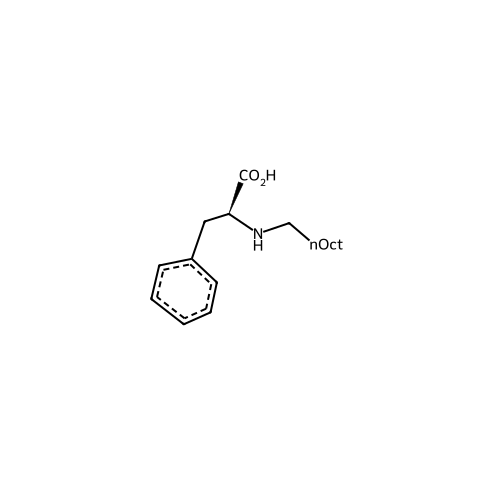 CCCCCCCCCN[C@@H](Cc1ccccc1)C(=O)O